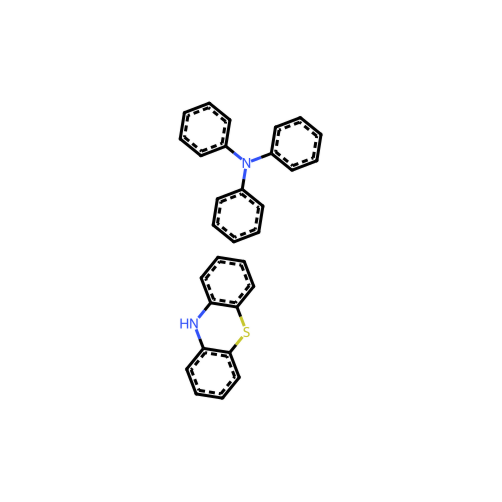 c1ccc(N(c2ccccc2)c2ccccc2)cc1.c1ccc2c(c1)Nc1ccccc1S2